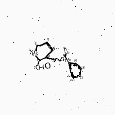 O=CC1NCCCC1NC(=O)c1ccccc1